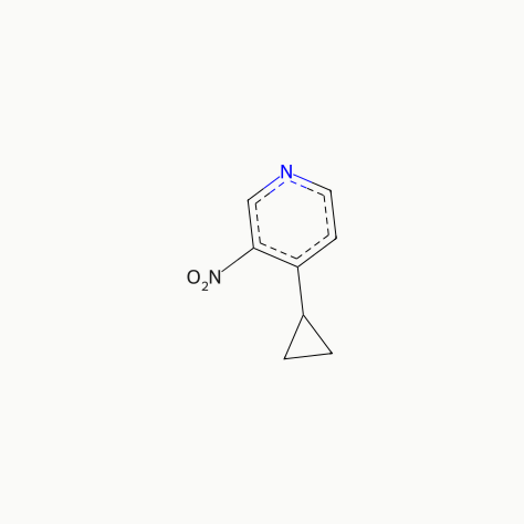 O=[N+]([O-])c1cnccc1C1CC1